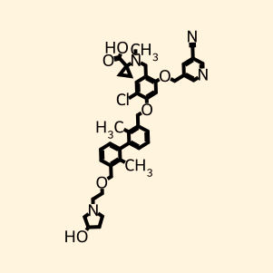 Cc1c(COCCN2CCC(O)C2)cccc1-c1cccc(COc2cc(OCc3cncc(C#N)c3)c(CN(C)C3(C(=O)O)CC3)cc2Cl)c1C